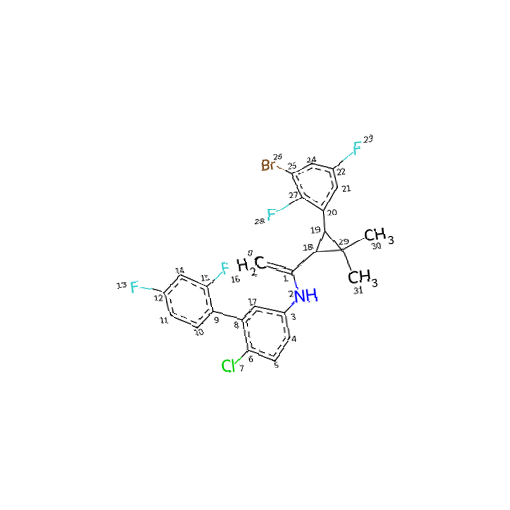 C=C(Nc1ccc(Cl)c(-c2ccc(F)cc2F)c1)C1C(c2cc(F)cc(Br)c2F)C1(C)C